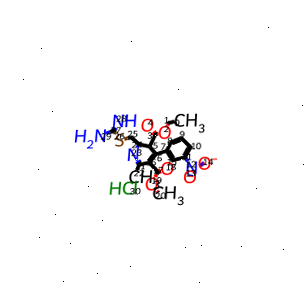 CCOC(=O)C1C(c2cccc([N+](=O)[O-])c2)=C(C(=O)OC)C(C)=NC1CSC(=N)N.Cl